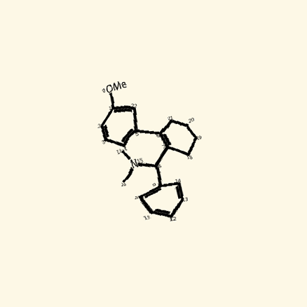 COc1cccc(C2=C(C(c3ccccc3)N(C)C)CCCC2)c1